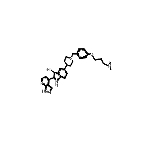 CC(C)c1c(-c2ccnc3[nH]ncc23)[nH]c2ccc(C3CCN(Cc4ccc(OCCCN(C)C)cc4)CC3)cc12